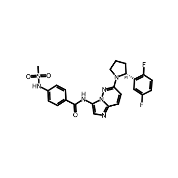 CS(=O)(=O)Nc1ccc(C(=O)Nc2cnc3ccc(N4CCC[C@@H]4c4cc(F)ccc4F)nn23)cc1